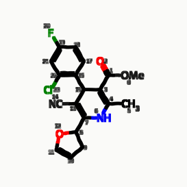 COC(=O)C1=C(C)NC(C2CC=CO2)=C(C#N)C1c1ccc(F)cc1Cl